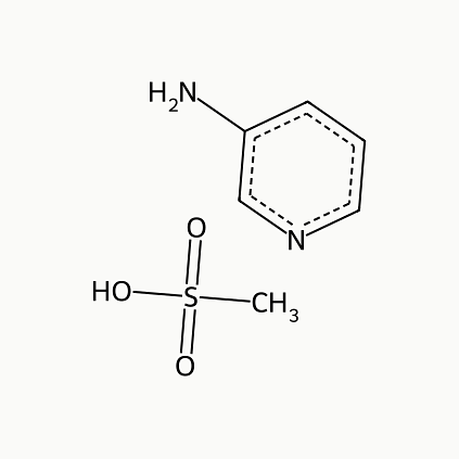 CS(=O)(=O)O.Nc1cccnc1